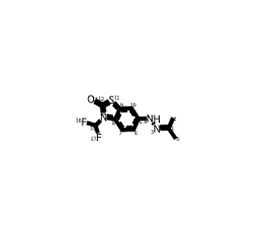 CC(C)=NNc1ccc2c(c1)sc(=O)n2C(F)F